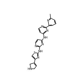 Cc1cccc(-c2nccc(Nc3ccnc(Nc4nc(C5=CCNC5)cs4)n3)n2)n1